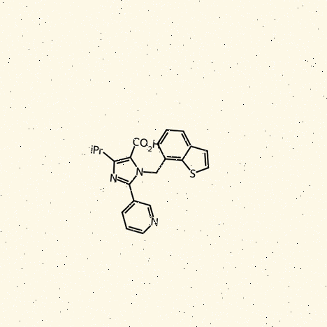 CC(C)c1nc(-c2cccnc2)n(Cc2cccc3ccsc23)c1C(=O)O